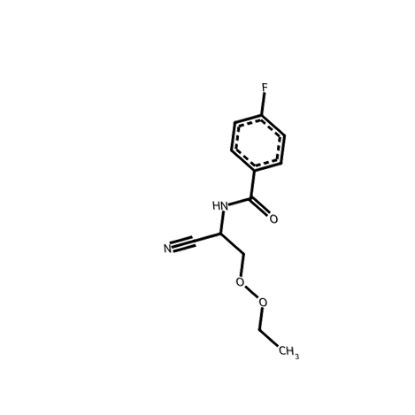 CCOOCC(C#N)NC(=O)c1ccc(F)cc1